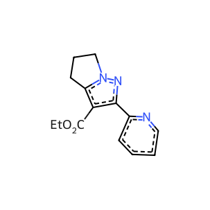 CCOC(=O)c1c(-c2ccccn2)nn2c1CCC2